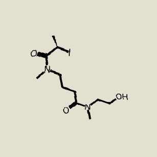 C[C@@H](I)C(=O)N(C)CCCC(=O)N(C)CCO